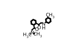 Cc1cccc(NCC(=O)c2ccccc2C(=O)CN(C)C)c1